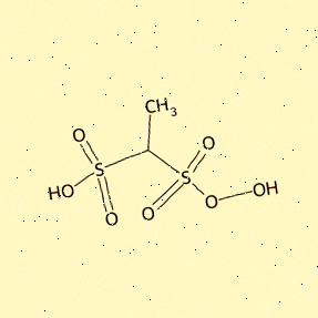 CC(S(=O)(=O)O)S(=O)(=O)OO